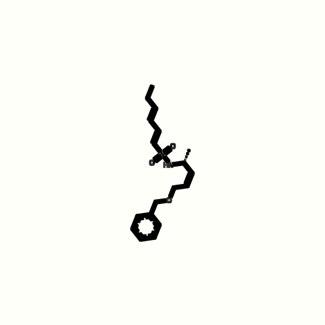 CC/C=C/C=C/S(=O)(=O)N[C@H](C)/C=C\COCc1ccccc1